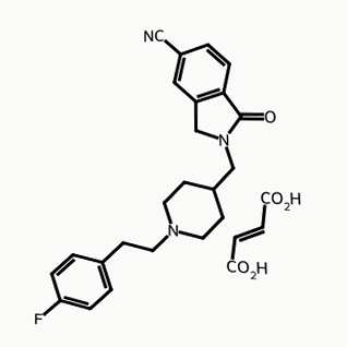 N#Cc1ccc2c(c1)CN(CC1CCN(CCc3ccc(F)cc3)CC1)C2=O.O=C(O)C=CC(=O)O